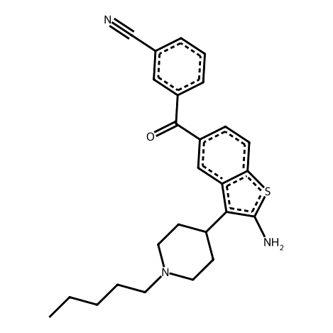 CCCCCN1CCC(c2c(N)sc3ccc(C(=O)c4cccc(C#N)c4)cc23)CC1